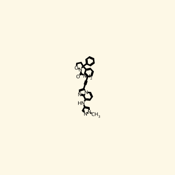 Cn1cc(Nc2cccn3c(C#Cc4cccc(C5(c6ccccc6)CCON5C(N)=O)c4)cnc23)cn1